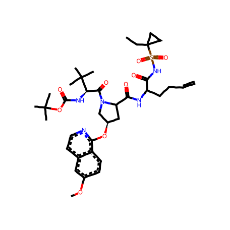 C=CCCC(NC(=O)C1C[C@@H](Oc2nccc3cc(OC)ccc23)CN1C(=O)[C@@H](NC(=O)OC(C)(C)C)C(C)(C)C)C(=O)NS(=O)(=O)C1(CC)CC1